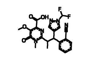 COc1c(C(=O)O)nc(C(C)C(c2cnn(C(F)F)c2)c2ccccc2C#N)n(C)c1=O